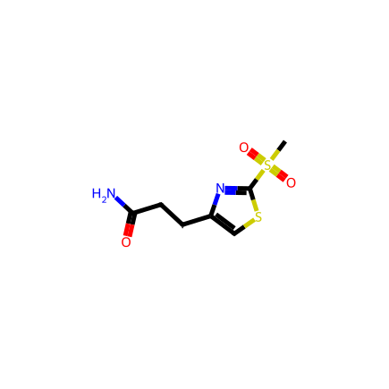 CS(=O)(=O)c1nc([CH]CC(N)=O)cs1